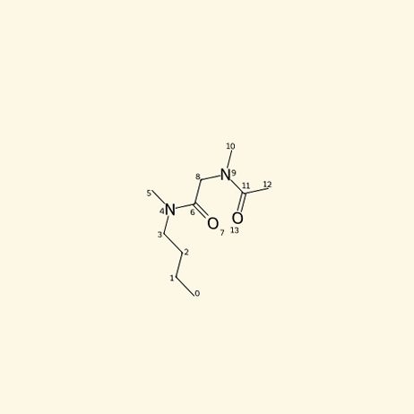 CCCCN(C)C(=O)CN(C)C(C)=O